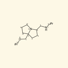 CC(C)NCC1CCC2(COC(C)C)CCCN12